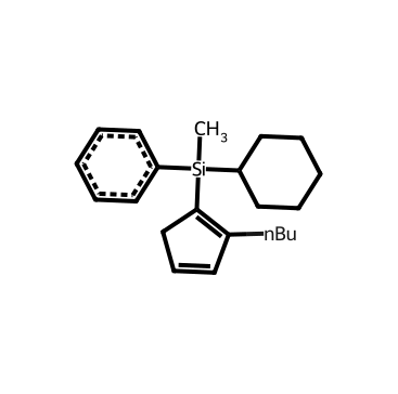 CCCCC1=C([Si](C)(c2ccccc2)C2CCCCC2)CC=C1